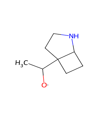 CC([O])C12CCNC1CC2